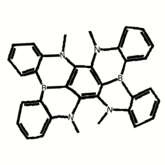 CN1c2ccccc2B2c3ccccc3N(C)c3c2c1c1c2c3N(C)c3ccccc3B2c2ccccc2N1C